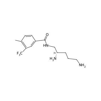 Cc1ccc(C(=O)NC[C@@H](N)CCCN)cc1C(F)(F)F